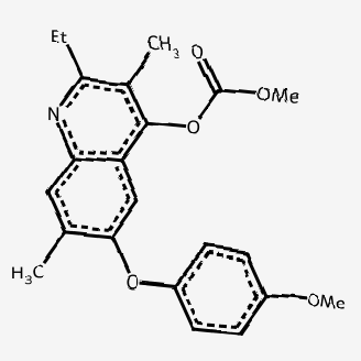 CCc1nc2cc(C)c(Oc3ccc(OC)cc3)cc2c(OC(=O)OC)c1C